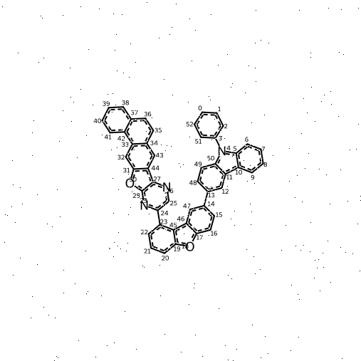 c1ccc(-n2c3ccccc3c3cc(-c4ccc5oc6cccc(-c7cnc8c(n7)oc7cc9c(ccc%10ccccc%109)cc78)c6c5c4)ccc32)cc1